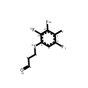 Cc1c(F)cc(SCCC=O)c(F)c1F